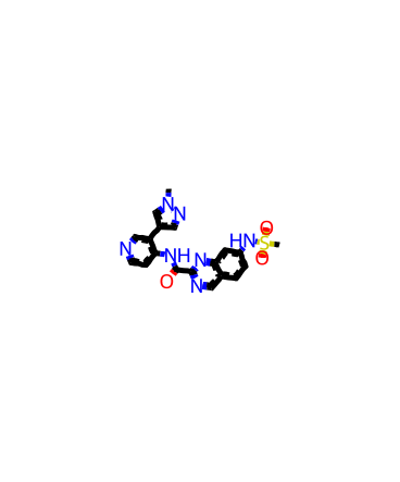 Cn1cc(-c2cnccc2NC(=O)c2ncc3ccc(NS(C)(=O)=O)cc3n2)cn1